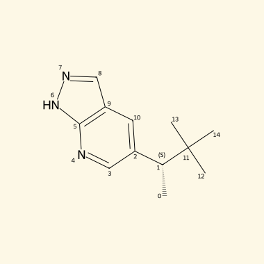 C[C@H](c1cnc2[nH]ncc2c1)C(C)(C)C